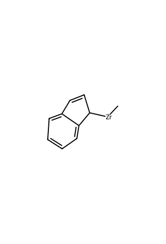 [CH3][Zr][CH]1C=Cc2ccccc21